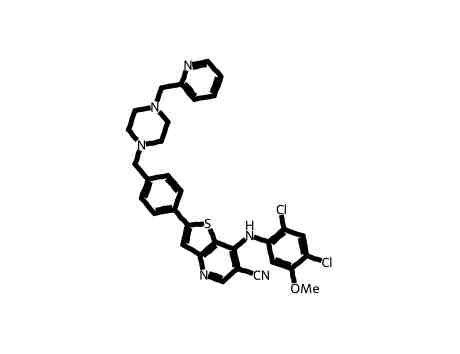 COc1cc(Nc2c(C#N)cnc3cc(-c4ccc(CN5CCN(Cc6ccccn6)CC5)cc4)sc23)c(Cl)cc1Cl